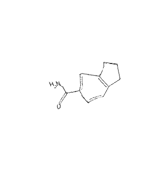 NC(=O)c1ccc2c(c1)CCC2